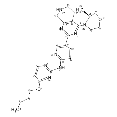 CCCCOc1ccnc(Nc2ccc(-c3nc4c(c(N5CCOC[C@@H]5C)n3)CCNC4)cn2)n1